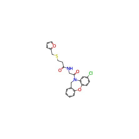 O=C(CCSCc1ccco1)NCC(=O)N1Cc2ccccc2Oc2ccc(Cl)cc21